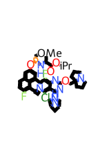 C#Cc1c(F)ccc2cc(OP(COC)NC(C)C(=O)OC(C)C)cc(-c3nc(Cl)c4c(N5CC6CC(C5)N6)nc(OCC56CCCN5CCC6)nc4c3F)c12